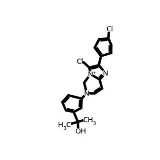 CC(C)(O)c1cccc(N2C=CC3=NC(c4ccc(Cl)cc4)=C(Cl)[N+]3C2)c1